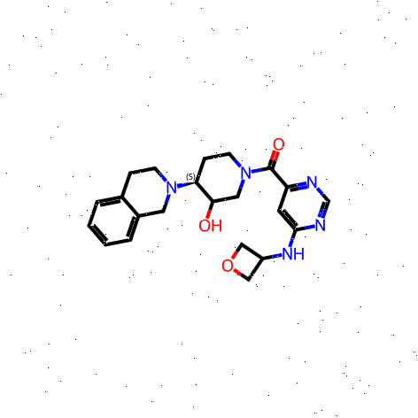 O=C(c1cc(NC2COC2)ncn1)N1CC[C@H](N2CCc3ccccc3C2)C(O)C1